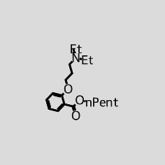 CCCCCOC(=O)c1ccccc1OCCCN(CC)CC